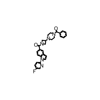 O=C(c1ccccc1)N1CCN(C2CN(C(=O)c3ccc4c(ccn4-c4ccc(F)cn4)c3)C2)CC1